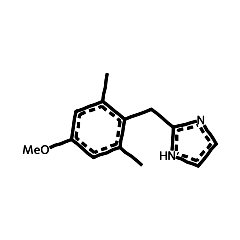 COc1cc(C)c(Cc2ncc[nH]2)c(C)c1